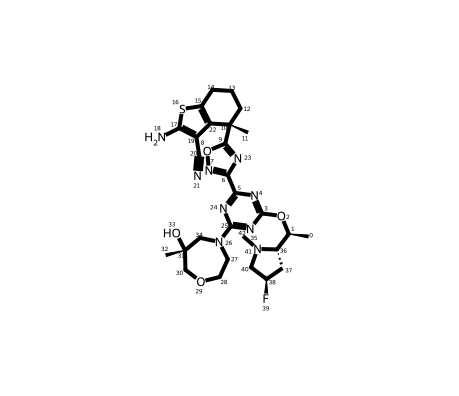 C[C@H](Oc1nc(-c2noc([C@@]3(C)CCCc4sc(N)c(C#N)c43)n2)nc(N2CCOC[C@](C)(O)C2)n1)[C@@H]1C[C@@H](F)CN1C